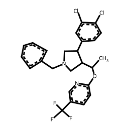 CC(Oc1ccc(C(F)(F)F)cn1)C1CN(Cc2ccccc2)CC1c1ccc(Cl)c(Cl)c1